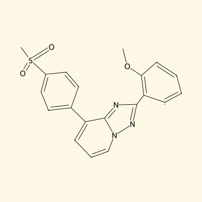 COc1ccc[c]c1-c1nc2c(-c3ccc(S(C)(=O)=O)cc3)cccn2n1